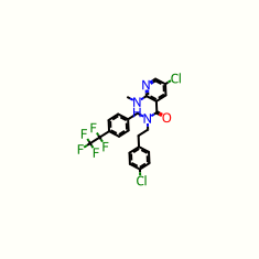 CNc1ncc(Cl)cc1C(=O)N(CCc1ccc(Cl)cc1)Cc1ccc(C(F)(F)C(F)(F)F)cc1